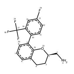 NC[C@H]1CCc2cccc(-c3ccc(F)cc3C(F)(F)F)c2O1